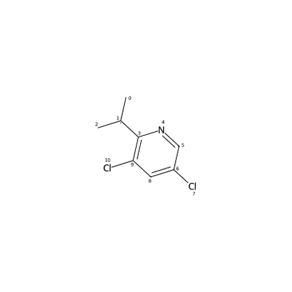 C[C](C)c1ncc(Cl)cc1Cl